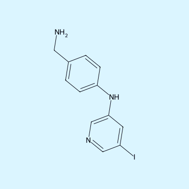 NCc1ccc(Nc2cncc(I)c2)cc1